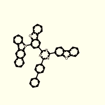 c1ccc(-c2ccc(-c3nc(-c4ccc5c(c4)oc4ccccc45)nc(-c4cc(-n5c6ccccc6c6cc7ccccc7cc65)c5oc6ccccc6c5c4)n3)cc2)cc1